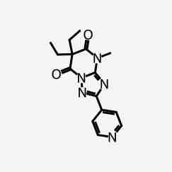 CCC1(CC)C(=O)N(C)c2nc(-c3ccncc3)nn2C1=O